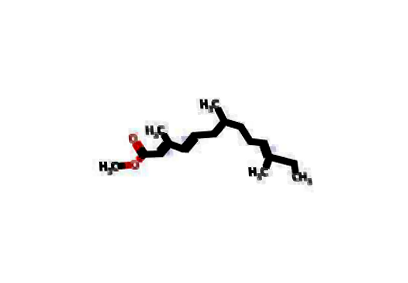 CC/C(C)=C/CCC(C)C/C=C/C(C)=C/C(=O)OC